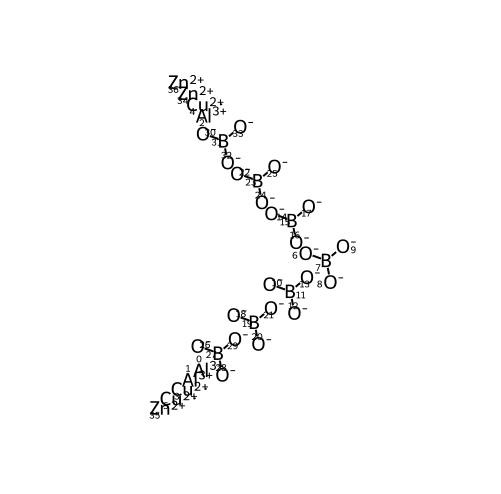 [Al+3].[Al+3].[Al+3].[Cu+2].[Cu+2].[Cu+2].[O-]B([O-])[O-].[O-]B([O-])[O-].[O-]B([O-])[O-].[O-]B([O-])[O-].[O-]B([O-])[O-].[O-]B([O-])[O-].[O-]B([O-])[O-].[Zn+2].[Zn+2].[Zn+2]